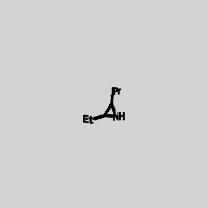 CCC1NC1C(C)C